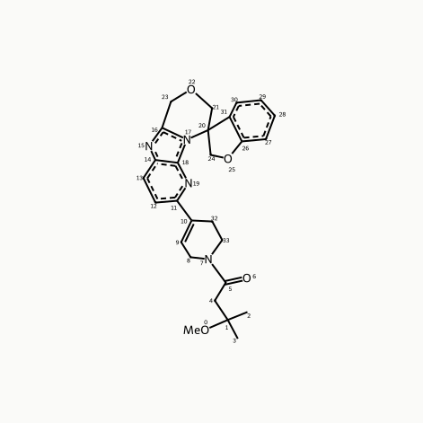 COC(C)(C)CC(=O)N1CC=C(c2ccc3nc4n(c3n2)C2(COC4)COc3ccccc32)CC1